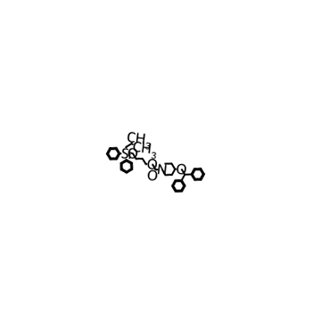 CC(C)C[Si](OCCCOC(=O)N1CCC(OC(c2ccccc2)c2ccccc2)CC1)(c1ccccc1)c1ccccc1